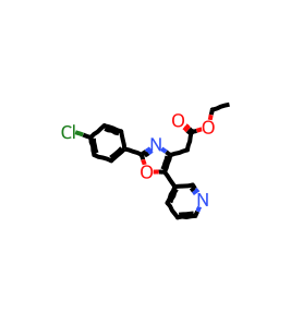 CCOC(=O)Cc1nc(-c2ccc(Cl)cc2)oc1-c1cccnc1